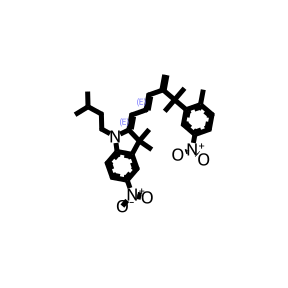 C=C(/C=C/C=C1/N(CCC(C)C)c2ccc([N+](=O)[O-])cc2C1(C)C)C(C)(C)c1cc([N+](=O)[O-])ccc1C